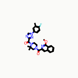 COc1nc(C(=O)N2CCN(C(=O)c3ncn(-c4ccc(F)c(C)c4)n3)C(C)(C)C2)cc2ccccc12